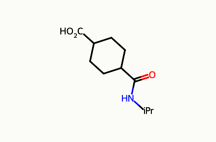 CC(C)NC(=O)C1CCC(C(=O)O)CC1